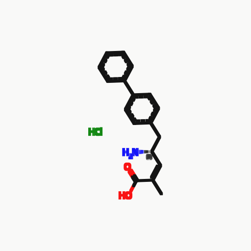 CC(=C[C@H](N)Cc1ccc(-c2ccccc2)cc1)C(=O)O.Cl